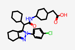 O=C(O)CC1CCC(NC(=O)C(c2c3c(nn2-c2ccc(Cl)cc2)CCCC3)C2CCCCC2)CC1